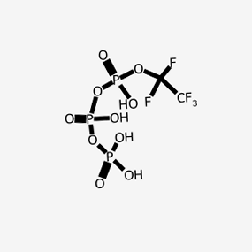 O=P(O)(O)OP(=O)(O)OP(=O)(O)OC(F)(F)C(F)(F)F